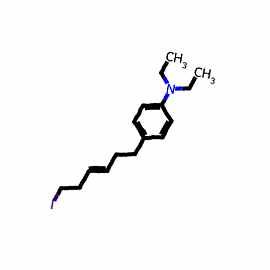 CCN(CC)c1ccc(CCC=CCCI)cc1